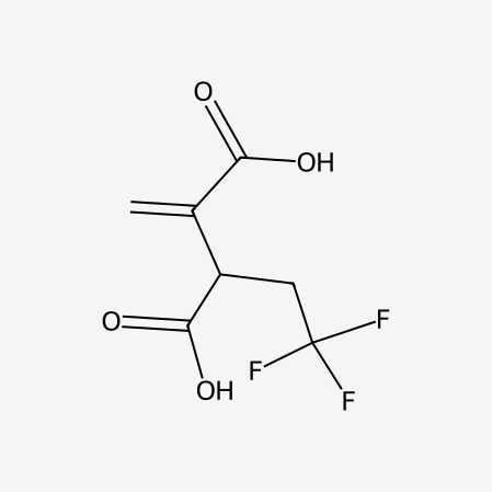 C=C(C(=O)O)C(CC(F)(F)F)C(=O)O